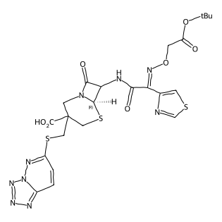 CC(C)(C)OC(=O)CON=C(C(=O)NC1C(=O)N2CC(CSc3ccc4nnnn4n3)(C(=O)O)CS[C@H]12)c1cscn1